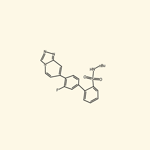 CCCCNS(=O)(=O)c1ccccc1-c1ccc(-c2ccn3cnnc3c2)c(F)c1